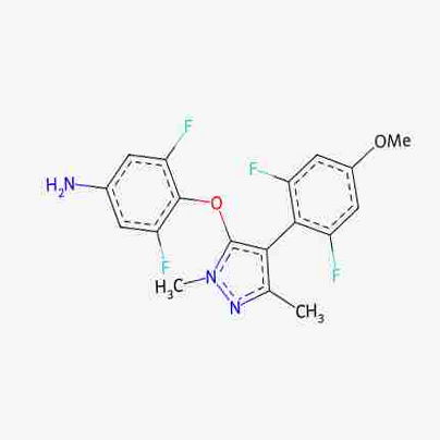 COc1cc(F)c(-c2c(C)nn(C)c2Oc2c(F)cc(N)cc2F)c(F)c1